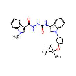 Cn1cc(C(=O)NNC(=O)Nc2cn(C3CCC(O[Si](C)(C)C(C)(C)C)C3)c3ccccc23)c2ccccc21